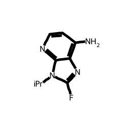 CC(C)n1c(F)nc2c(N)ccnc21